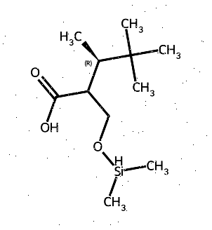 C[C@H](C(CO[SiH](C)C)C(=O)O)C(C)(C)C